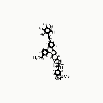 [2H]c1c([2H])c([2H])c(C#Cc2ccc([C@@H]3S[C@H](CC(=O)NC([2H])([2H])C([2H])([2H])c4ccc(O)c(OC)c4)C(=O)N3c3cccc(C(N)=O)c3)cc2)c([2H])c1[2H]